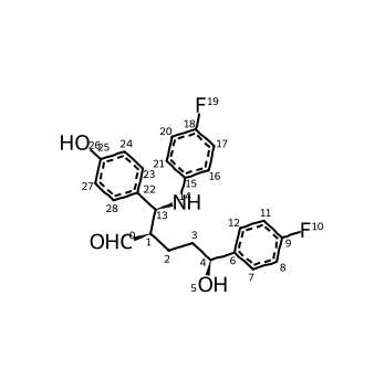 O=C[C@H](CC[C@H](O)c1ccc(F)cc1)[C@H](Nc1ccc(F)cc1)c1ccc(O)cc1